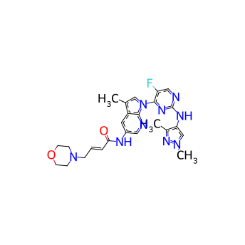 Cc1nn(C)cc1Nc1ncc(F)c(-n2cc(C)c3cc(NC(=O)/C=C/CN4CCOCC4)cnc32)n1